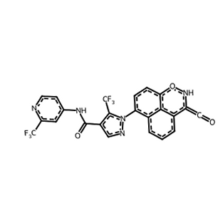 O=C=c1[nH]oc2ccc(-n3ncc(C(=O)Nc4ccnc(C(F)(F)F)c4)c3C(F)(F)F)c3cccc1c23